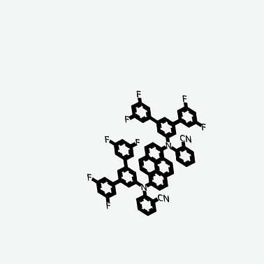 N#Cc1ccccc1N(c1cc(-c2cc(F)cc(F)c2)cc(-c2cc(F)cc(F)c2)c1)c1ccc2ccc3c(N(c4cc(-c5cc(F)cc(F)c5)cc(-c5cc(F)cc(F)c5)c4)c4ccccc4C#N)ccc4ccc1c2c43